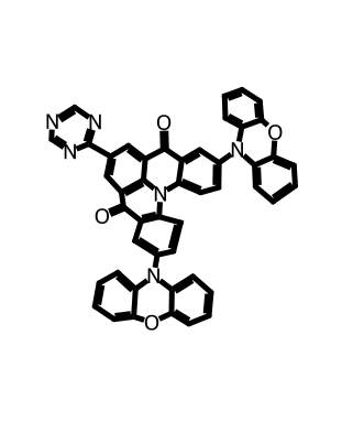 O=c1c2cc(N3c4ccccc4Oc4ccccc43)ccc2n2c3ccc(N4c5ccccc5Oc5ccccc54)cc3c(=O)c3cc(-c4ncncn4)cc1c32